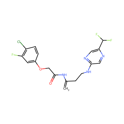 C=C(CCNc1cnc(C(F)F)cn1)NC(=O)COc1ccc(Cl)c(F)c1